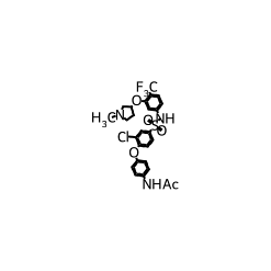 CC(=O)Nc1ccc(Oc2ccc(S(=O)(=O)Nc3ccc(C(F)(F)F)c(OC4CCN(C)C4)c3)cc2Cl)cc1